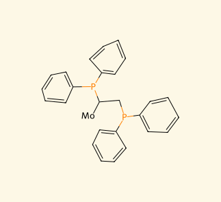 [Mo][CH](CP(c1ccccc1)c1ccccc1)P(c1ccccc1)c1ccccc1